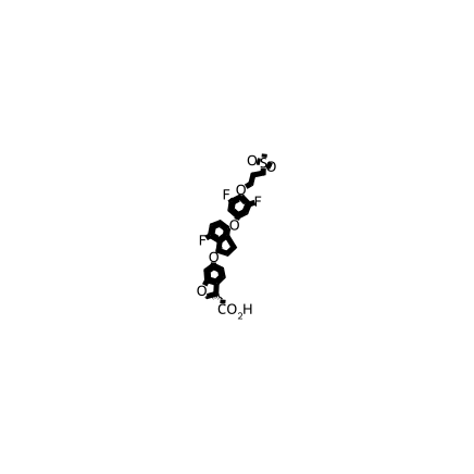 CS(=O)(=O)CCCOc1c(F)cc(Oc2ccc(F)c3c2CC[C@H]3Oc2ccc3c(c2)OC[C@H]3CC(=O)O)cc1F